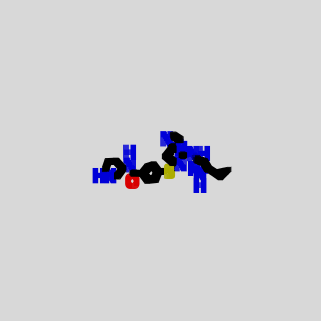 O=C(NC1CCCNC1)c1ccc(Sc2cc3nccn3c(Nc3cc(C4CC4)[nH]n3)n2)cc1